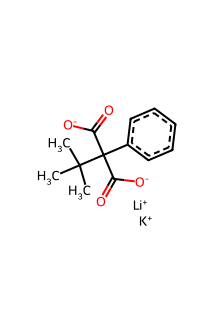 CC(C)(C)C(C(=O)[O-])(C(=O)[O-])c1ccccc1.[K+].[Li+]